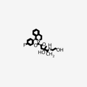 C=C(NCCO)[C@@]1(O)CO[C@H](C(=O)N2CCc3ccccc3[C@@H]2c2ccc(F)cc2)C1